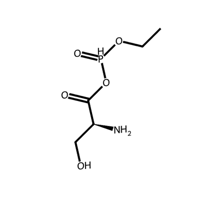 CCO[PH](=O)OC(=O)[C@@H](N)CO